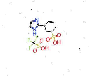 C=CC(CC(C)S(=O)(=O)O)c1ncc[nH]1.O=S(=O)(O)C(F)(F)F